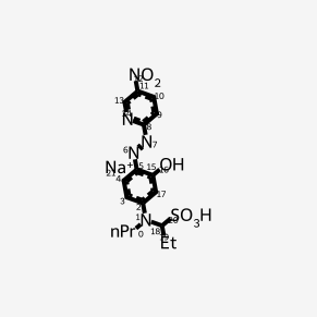 CCCN(c1ccc(/N=N/c2ccc([N+](=O)[O-])cn2)c(O)c1)C(CC)S(=O)(=O)O.[Na+]